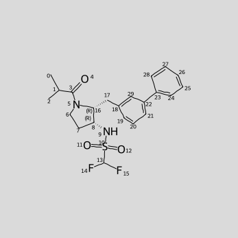 CC(C)C(=O)N1CC[C@@H](NS(=O)(=O)C(F)F)[C@H]1Cc1cccc(-c2ccccc2)c1